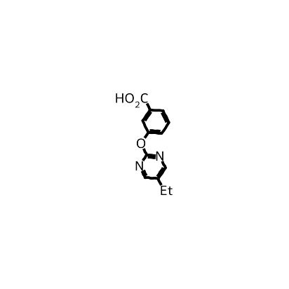 CCc1cnc(Oc2cccc(C(=O)O)c2)nc1